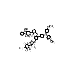 COc1ccc(N(c2ccc(OC)cc2)c2ccc(-c3cc(OC(=O)CC(C)(C)C4=C(C)C(=O)C(C)=C(C)C4=O)cc4c3CC3=CCCC(C=CC5N(C)c6ccccc6C5(C)C)=C3O4)cc2)cc1